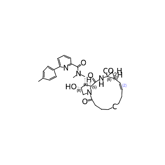 Cc1ccc(-c2cccc(C(=O)N(C)C[C@@H]3[C@H]4C(=O)N[C@]5(C(=O)O)C[C@H]5/C=C\CCCCCCC(=O)N4C[C@@H]3O)n2)cc1